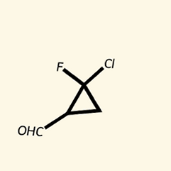 O=CC1CC1(F)Cl